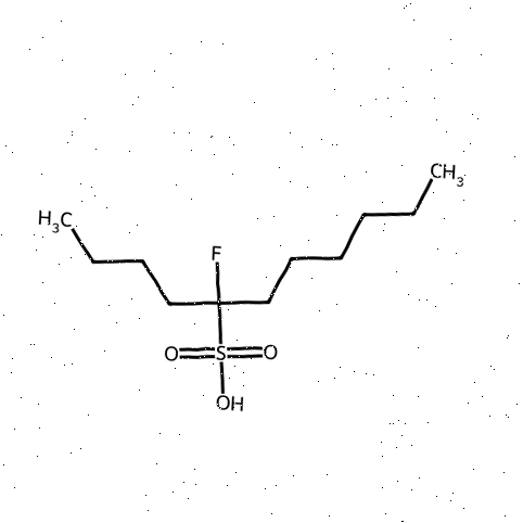 CCCCCCC(F)(CCCC)S(=O)(=O)O